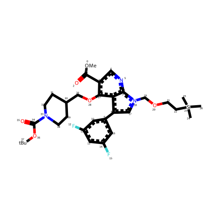 COC(=O)c1cnc2c(c(-c3cc(F)cc(F)c3)cn2COCC[Si](C)(C)C)c1OCC1CCN(C(=O)OC(C)(C)C)CC1